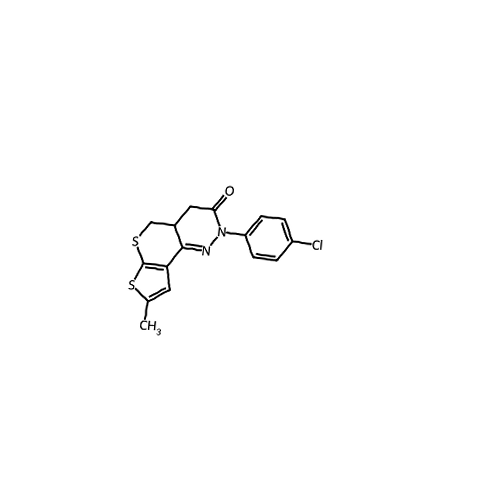 Cc1cc2c(s1)SCC1CC(=O)N(c3ccc(Cl)cc3)N=C21